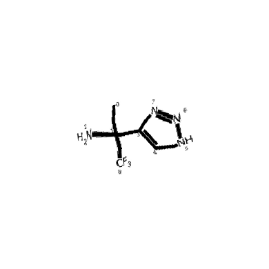 CC(N)(c1c[nH]nn1)C(F)(F)F